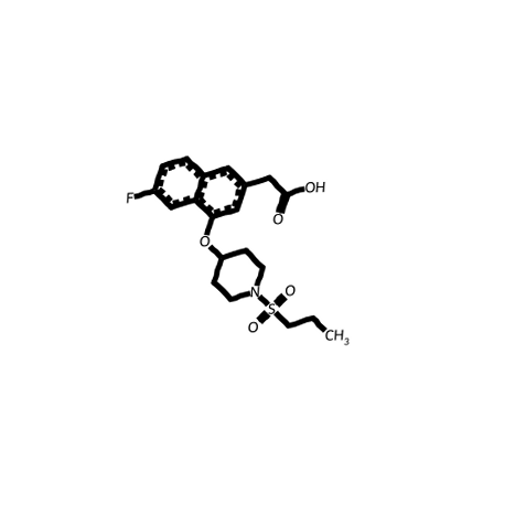 CCCS(=O)(=O)N1CCC(Oc2cc(CC(=O)O)cc3ccc(F)cc23)CC1